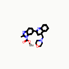 Cc1nc2ccc(-c3cc(CN4CCOCC4)c4ccccc4n3)cc2n1C(=O)OC(C)(C)C